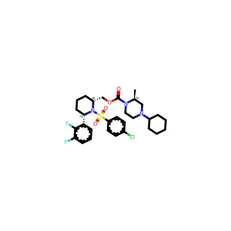 C[C@H]1CN(C2CCCCC2)CCN1C(=O)OC[C@H]1CCC[C@@H](c2cccc(F)c2F)N1S(=O)(=O)c1ccc(Cl)cc1